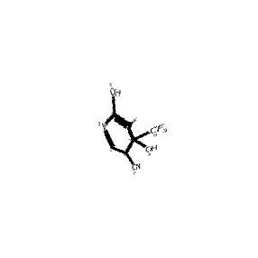 N#CC1C=NC(O)=CC1(O)C(F)(F)F